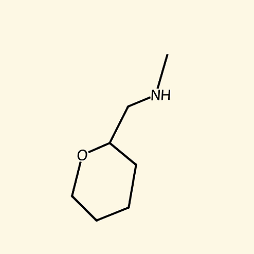 CNCC1CCCCO1